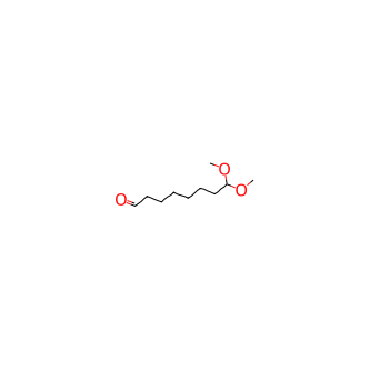 COC(CCCCCCC=O)OC